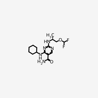 C[C@@H](COC(F)F)Nc1ncc(C(N)=O)c(NC2CCCCC2)n1